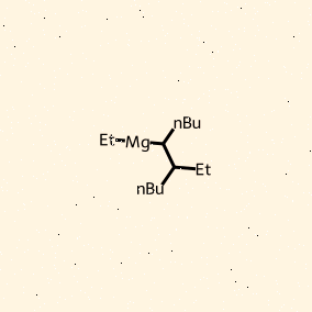 CCCCC(CC)[CH](CCCC)[Mg][CH2]C